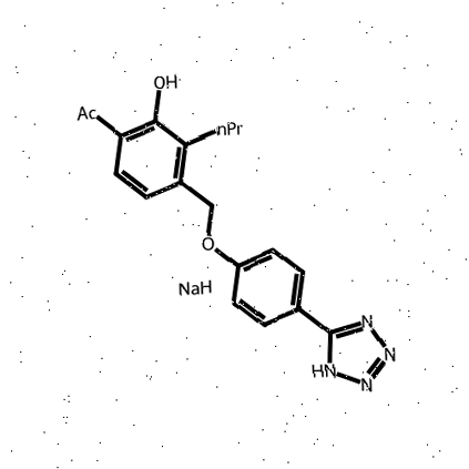 CCCc1c(COc2ccc(-c3nnn[nH]3)cc2)ccc(C(C)=O)c1O.[NaH]